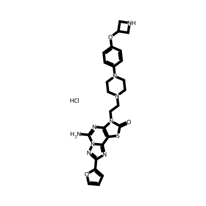 Cl.Nc1nc2c(sc(=O)n2CCN2CCN(c3ccc(OC4CNC4)cc3)CC2)c2nc(-c3ccco3)nn12